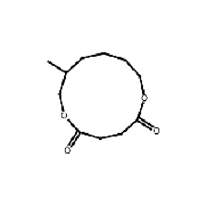 CC1CCCCOC(=O)CCC(=O)OC1